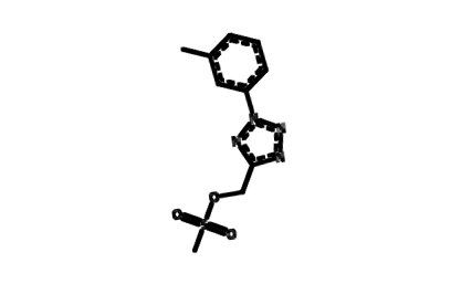 Cc1cccc(-n2nnc(COS(C)(=O)=O)n2)c1